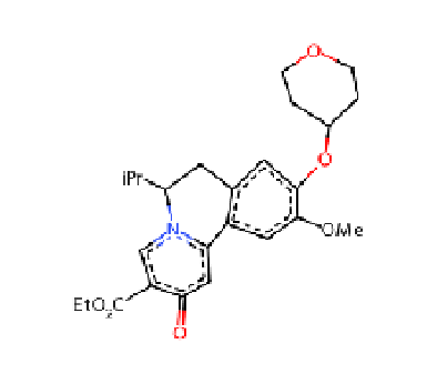 CCOC(=O)c1cn2c(cc1=O)-c1cc(OC)c(OC3CCOCC3)cc1CC2C(C)C